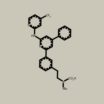 CC(C)(C)N(CCc1cccc(-c2cc(-c3ccccc3)cc(Nc3cc(C(F)(F)F)ccn3)n2)c1)C(=O)O